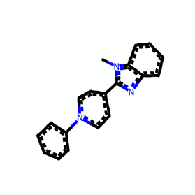 Cn1c(-c2cc[n+](-c3ccccc3)cc2)nc2ccccc21